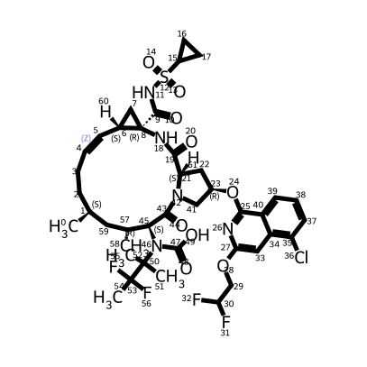 C[C@H]1CC/C=C\[C@@H]2C[C@@]2(C(=O)NS(=O)(=O)C2CC2)NC(=O)[C@@H]2C[C@@H](Oc3nc(OCC(F)F)cc4c(Cl)cccc34)CN2C(=O)[C@@H](N(C(=O)O)C(C)(C)C(C)(F)F)[C@H](C)C1